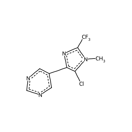 Cn1c(C(F)(F)F)nc(-c2cncnc2)c1Cl